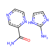 NC(=O)c1cnccn1.Nc1ncc[nH]1